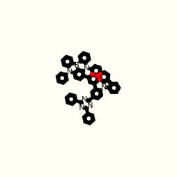 c1ccc(-c2nc(-c3ccccc3)nc(-c3ccc(-n4c5ccccc5c5ccccc54)c(-c4cccc(-c5ccc6c7c5N(c5ccccc5)c5ccccc5B7c5ccccc5N6c5ccccc5)c4)c3)n2)cc1